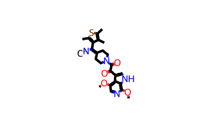 [C-]#[N+]C(=C1CCN(C(=O)C(=O)c2c[nH]c3c(OC)ncc(OC)c23)CC1)c1c(C)sc(C)c1C